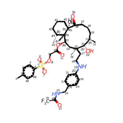 Cc1ccc(S(=O)(=O)OCC(=O)O[C@@H]2C[C@](C)(CCNc3ccc(CNC(=O)C(F)(F)F)cc3)[C@@H](O)[C@H](C)CCCC(=O)[C@@H]3CCC[C@@H](C)[C@@]23C)cc1